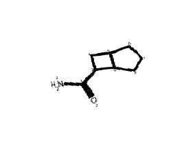 NC(=O)C1CC2CCCC21